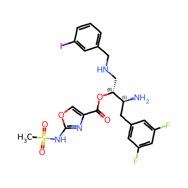 CS(=O)(=O)Nc1nc(C(=O)O[C@H](CNCc2cccc(I)c2)[C@@H](N)Cc2cc(F)cc(F)c2)co1